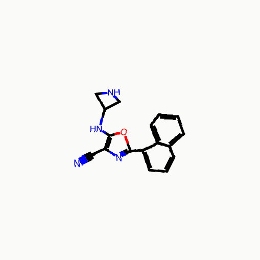 N#Cc1nc(-c2cccc3ccccc23)oc1NC1CNC1